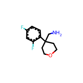 NCC1(c2ccc(F)cc2F)CCOCC1